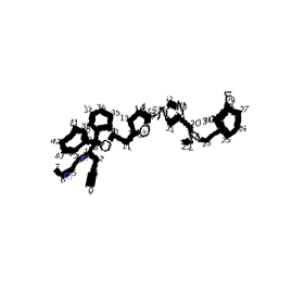 C#CC/C(=C\C=C/C)C(OCCC1CC[C@H](n2cnc(CN(C)Cc3cccc(F)c3)c2)O1)(c1ccccc1)c1ccccc1